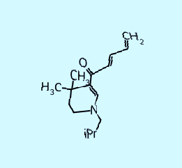 C=C/C=C/C(=O)C1=CN(CC(C)C)CCC1(C)C